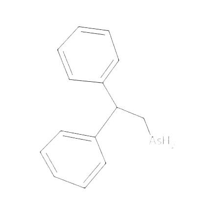 [AsH2]CC(c1ccccc1)c1ccccc1